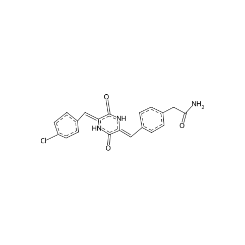 NC(=O)Cc1ccc(C=c2[nH]c(=O)c(=Cc3ccc(Cl)cc3)[nH]c2=O)cc1